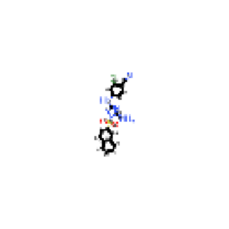 N#Cc1ccc(Nc2nc(N)n(S(=O)(=O)c3ccc4ccccc4c3)n2)cc1Cl